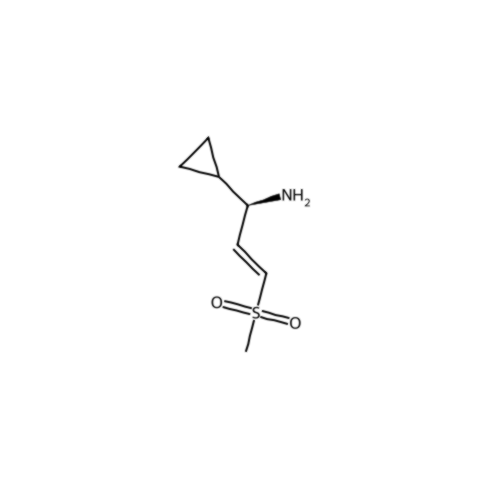 CS(=O)(=O)/C=C/[C@H](N)C1CC1